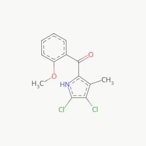 COc1ccccc1C(=O)c1[nH]c(Cl)c(Cl)c1C